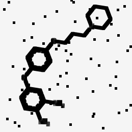 Nc1ccc(Oc2ccc(OCCCN3CCCCC3)cc2)cc1N